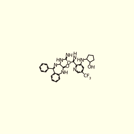 N=C(NC1N=C(c2ccccc2)c2ccccc2NC1=O)OC(=N)c1ncc(C(F)(F)F)cc1NC1CCCC1O